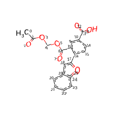 CC(=O)OCOC(=O)c1cc(C(=O)O)ccc1-c1cc2ccccc2o1